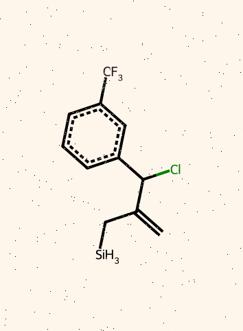 C=C(C[SiH3])C(Cl)c1cccc(C(F)(F)F)c1